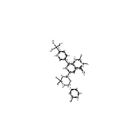 Cc1cc([C@H]2CN(c3cc4c(=O)n(C)c(C)nc4c(-c4ccc(C(F)(F)F)nc4)n3)CC(C)(C)O2)ccn1